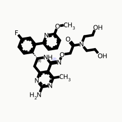 COc1cccc(-c2cc(F)ccc2[C@H]2Cc3nc(N)nc(C)c3/C(=N/OCC(=O)N(CCO)CCO)N2)n1